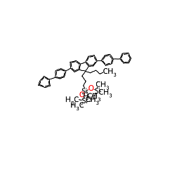 CCCCC1(CCC[Si](C)(O[Si](C)(C)C)O[Si](C)(C)C)c2cc(-c3ccc(-c4ccccc4)cc3)ccc2-c2ccc(-c3ccc(-c4ccccc4)cc3)cc21